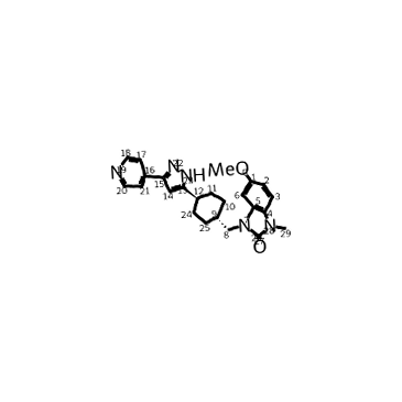 COc1ccc2c(c1)n(C[C@H]1CC[C@H](c3cc(-c4ccncc4)n[nH]3)CC1)c(=O)n2C